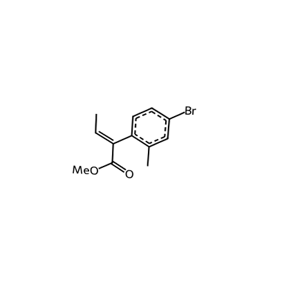 C/C=C(/C(=O)OC)c1ccc(Br)cc1C